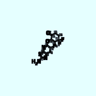 Nc1nc2cc(F)c(OC3CC(F)(F)CCC3=O)nc2s1